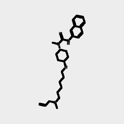 C=CCN(C)CCCCCCO[C@H]1CC[C@H](N(C)C(=O)Nc2ccc3ccccc3c2)CC1